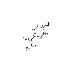 CCOC(=O)C1=CCC(Cl)N=C1